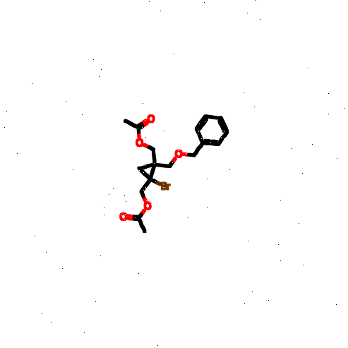 CC(=O)OCC1(Br)CC1(COCc1ccccc1)COC(C)=O